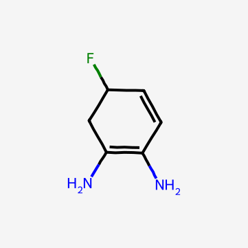 NC1=C(N)CC(F)C=C1